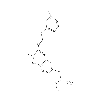 CCO[C@H](Cc1ccc(OC(C)C(=O)NCCc2cccc(F)c2)cc1)C(=O)O